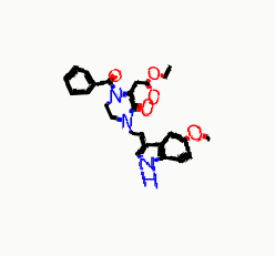 CCOC(=O)CC1C(=O)N(CCc2c[nH]c3ccc(OC)cc23)CCN1C(=O)c1ccccc1